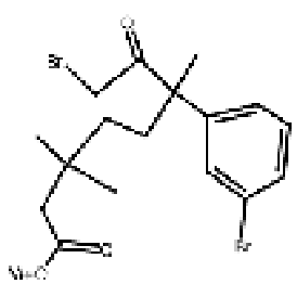 COC(=O)CC(C)(C)CCC(C)(C(=O)CBr)c1cccc(Br)c1